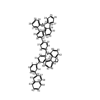 c1cc(-c2ccc(N(c3ccc(-c4ccc(-c5ccccc5-n5c6ccccc6c6ccccc65)cc4)cc3)c3cccc4oc5ccccc5c34)cc2)cc(-c2ccc3ccccc3c2)c1